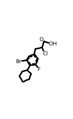 O=C(O)C(Cl)Cc1cc(F)c(C2CCCCC2)c(Br)c1